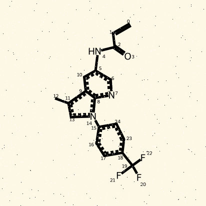 C=CC(=O)Nc1cnc2c(c1)c(C)cn2-c1ccc(C(F)(F)F)cc1